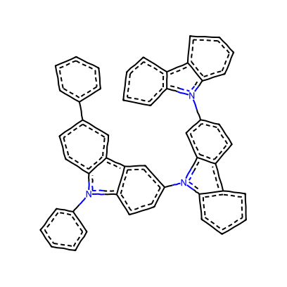 c1ccc(-c2ccc3c(c2)c2cc(-n4c5ccccc5c5ccc(-n6c7ccccc7c7ccccc76)cc54)ccc2n3-c2ccccc2)cc1